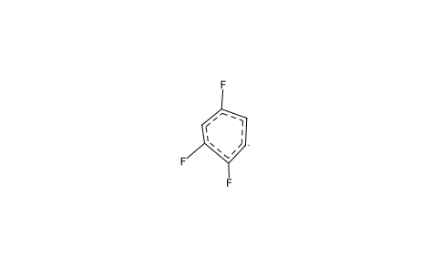 Fc1c[c]c(F)c(F)c1